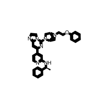 C[C@H](Nc1cc(-c2cc3nccn3c(N3CC4CC3CN4CCOc3ccccc3)n2)ccn1)c1ccccc1